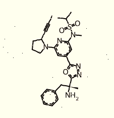 CC#CC1CCCN1c1cc(-c2nnc([C@](C)(N)Cc3ccccc3)o2)cc(N(C)S(=O)(=O)C(C)C)n1